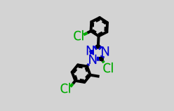 Cc1cc(Cl)ccc1-n1nc(-c2ccccc2Cl)nc1Cl